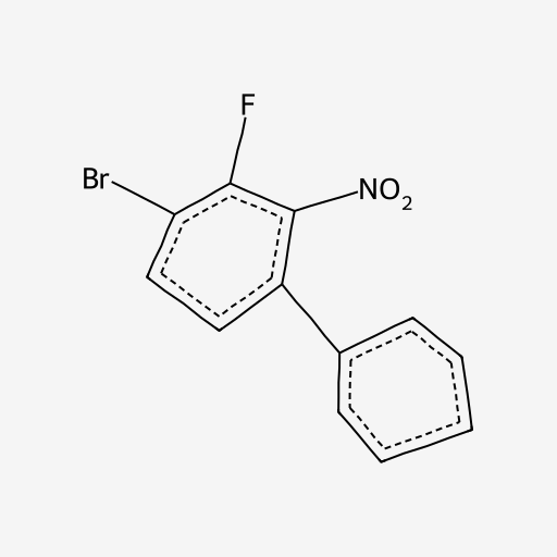 O=[N+]([O-])c1c(-c2ccccc2)ccc(Br)c1F